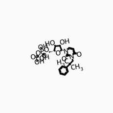 CC(C)(Cn1c(=O)ccn([C@@H]2O[C@H](COP(=O)(O)OP(=O)(O)O)C(O)C2O)c1=O)c1ccccc1